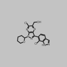 OCc1nc2c(-c3ccc4cn[nH]c4c3Cl)nn(C3CCCCO3)c2nc1Cl